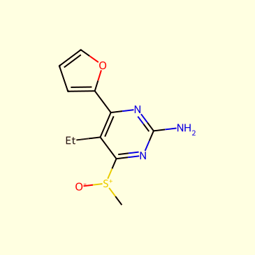 CCc1c(-c2ccco2)nc(N)nc1[S+](C)[O-]